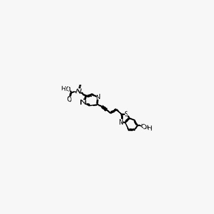 CN(C(=O)O)c1cnc(C#C/C=C/c2nc3ccc(O)cc3s2)cn1